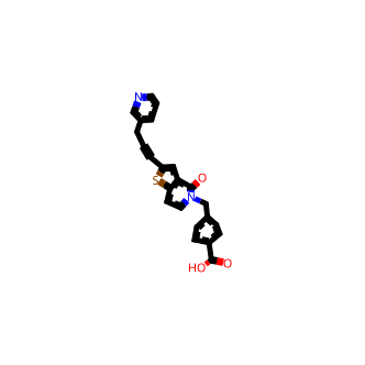 O=C(O)c1ccc(Cn2ccc3sc(C#CCc4cccnc4)cc3c2=O)cc1